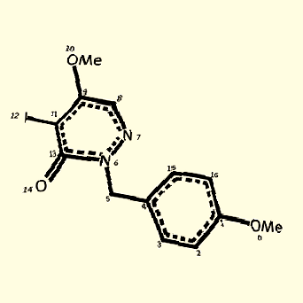 COc1ccc(Cn2ncc(OC)c(I)c2=O)cc1